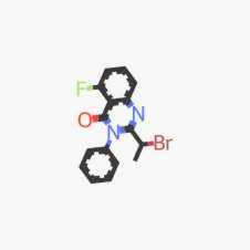 CC(Br)c1nc2cccc(F)c2c(=O)n1-c1ccccc1